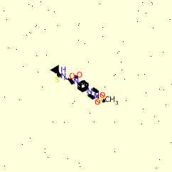 CCS(=O)(=O)N1CCN(c2ccc(N3C[C@H](CNC(=S)C4CC4)OC3=O)cc2)CC1